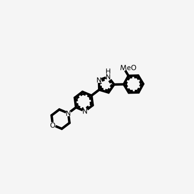 COc1ccccc1-c1cc(-c2ccc(N3CCOCC3)nc2)n[nH]1